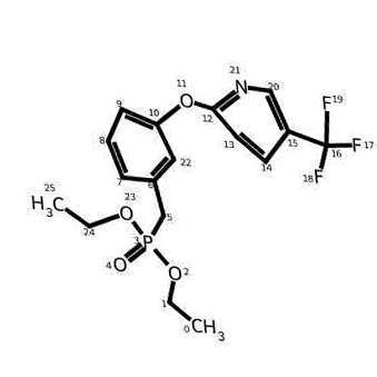 CCOP(=O)(Cc1cccc(Oc2ccc(C(F)(F)F)cn2)c1)OCC